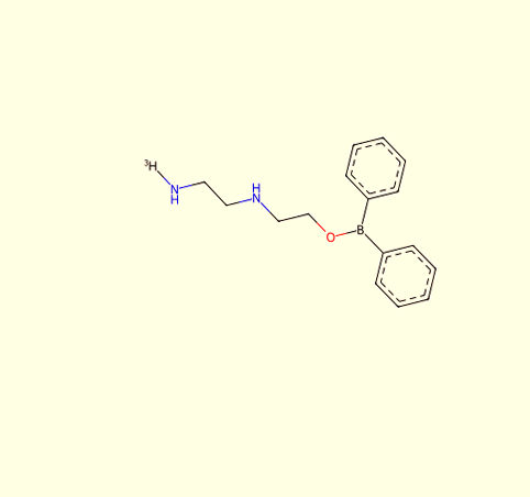 [3H]NCCNCCOB(c1ccccc1)c1ccccc1